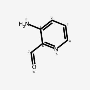 Nc1cccnc1[C]=O